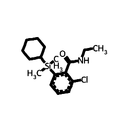 CCNC(=O)c1c(Cl)cccc1[Si](C)(C)C1CCCCC1